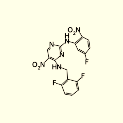 O=[N+]([O-])c1ccc(F)cc1Nc1ncc([N+](=O)[O-])c(NCc2c(F)cccc2F)n1